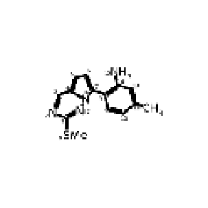 CSc1ncc2ccc(-c3ccc(C)cc3N)n2n1